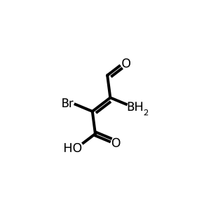 B/C(C=O)=C(/Br)C(=O)O